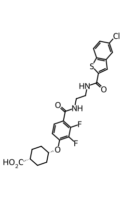 O=C(NCCNC(=O)c1ccc(O[C@H]2CC[C@@H](C(=O)O)CC2)c(F)c1F)c1cc2cc(Cl)ccc2s1